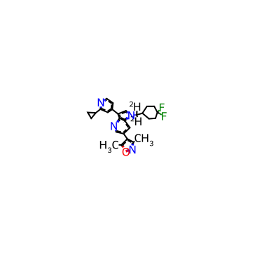 [2H]C([2H])(C1CCC(F)(F)CC1)n1cc(-c2ccnc(C3CC3)c2)c2ncc(-c3c(C)noc3C)cc21